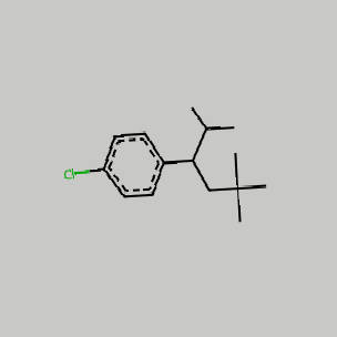 CC(C)C(CC(C)(C)C)c1ccc(Cl)cc1